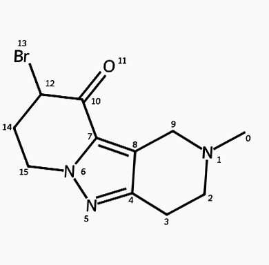 CN1CCc2nn3c(c2C1)C(=O)C(Br)CC3